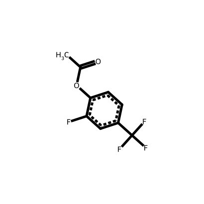 CC(=O)Oc1ccc(C(F)(F)F)cc1F